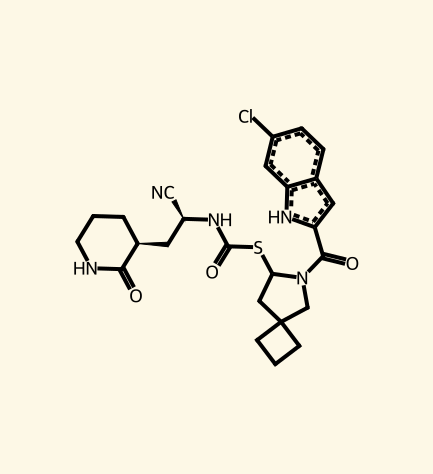 N#C[C@H](C[C@@H]1CCCNC1=O)NC(=O)SC1CC2(CCC2)CN1C(=O)c1cc2ccc(Cl)cc2[nH]1